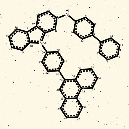 c1ccc(-c2ccc(Nc3ccc4c5ccccc5n(-c5ccc(-c6cc7ccccc7c7ccccc67)cc5)c4c3)cc2)cc1